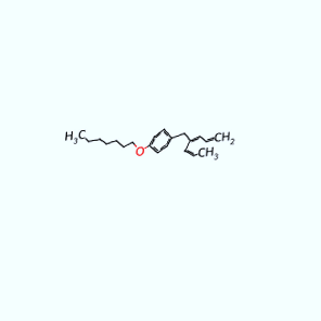 C=C/C=C(\C=C/C)Cc1ccc(OCCCCCCC)cc1